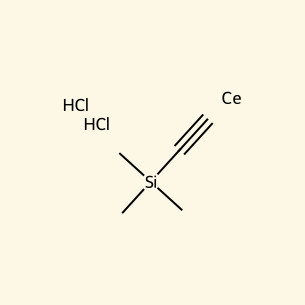 C#C[Si](C)(C)C.Cl.Cl.[Ce]